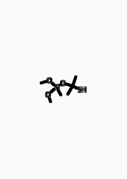 CO[Si](C)(OC)OC(C)(C)S